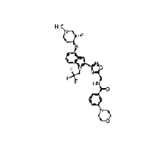 CN1CC/C(=N\c2cccc3c2cc(-c2noc(CNC(=O)c4cccc(N5CCOCC5)c4)n2)n3CC(F)(F)F)[C@@H](F)C1